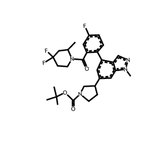 CC1CC(F)(F)CCN1C(=O)c1cc(F)ccc1-c1cc(C2CCN(C(=O)OC(C)(C)C)C2)cc2c1cnn2C